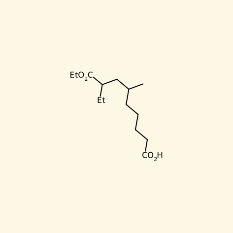 CCOC(=O)C(CC)CC(C)CCCCC(=O)O